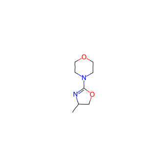 CC1COC(N2CCOCC2)=N1